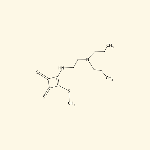 CCCN(CCC)CCNc1c(SC)c(=S)c1=S